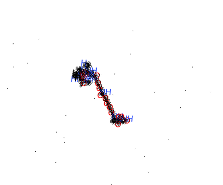 CCC[C@H](NC(=O)[C@@H]1[C@H]2CCC[C@H]2CN1C(=O)[C@@H](NC(=O)[C@@H](NC(=O)c1cnc(C(=O)NCCOCCOCCNC(=O)CCOCCOCCOCCOCCNc2cccc3c2C(=O)N(C2CCC(=O)NC2=O)C3=O)cn1)C1CCCCC1)C(C)(C)C)C(=O)C(=O)NC1CC1